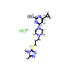 Cc1nnc(SCCCN2CCN(c3cc(C4CC4)nc(C(C)(C)C)n3)CC2)n1C.Cl